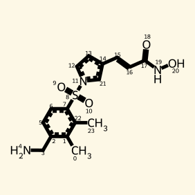 Cc1c(CN)ccc(S(=O)(=O)n2ccc(C=CC(=O)NO)c2)c1C